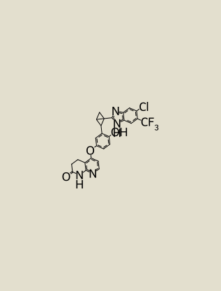 O=C1CCc2c(Oc3ccc(O)c(C4C5CC54c4nc5cc(Cl)c(C(F)(F)F)cc5[nH]4)c3)ccnc2N1